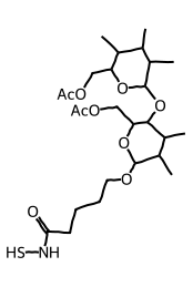 CC(=O)OCC1OC(OC2C(COC(C)=O)OC(OCCCCC(=O)NS)C(C)C2C)C(C)C(C)C1C